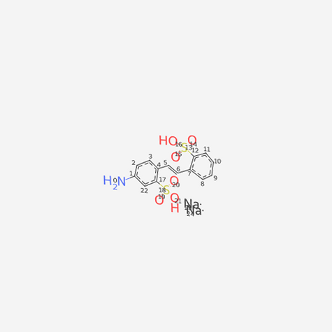 Nc1ccc(C=Cc2ccccc2S(=O)(=O)O)c(S(=O)(=O)O)c1.[Na].[Na]